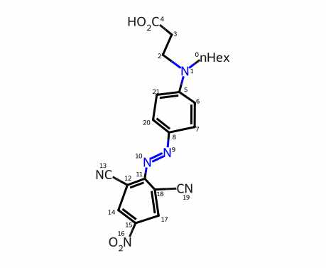 CCCCCCN(CCC(=O)O)c1ccc(N=Nc2c(C#N)cc([N+](=O)[O-])cc2C#N)cc1